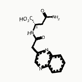 NC(=O)C[C@H](NC(=O)Cc1cnc2ccccc2n1)C(=O)O